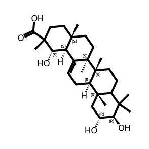 CC1(C(=O)O)CC[C@]2(C)CC[C@]3(C)C(=CC[C@@H]4[C@@]5(C)C[C@@H](O)[C@H](O)C(C)(C)C5CC[C@]43C)[C@H]2[C@@H]1O